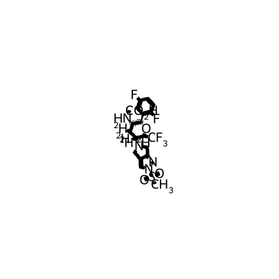 [2H]C1([2H])[C@H](NC(=O)O)[C@@H](c2cc(F)ccc2F)OC([2H])(C(F)(F)F)C1([2H])N1Cc2cn(S(C)(=O)=O)nc2C1